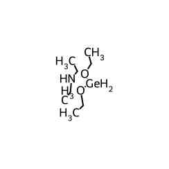 CCNCC.CC[O][GeH2][O]CC